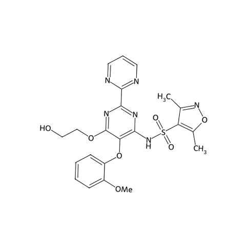 COc1ccccc1Oc1c(NS(=O)(=O)c2c(C)noc2C)nc(-c2ncccn2)nc1OCCO